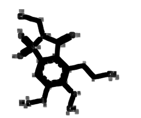 CCCc1c(OC)c(OC)cc2c1C(=O)N(CCl)S2(=O)=O